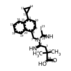 CC(C)(CC(=N)N(Cc1ccc(C2CC2)c2ccccc12)C(=N)I)C(=O)O